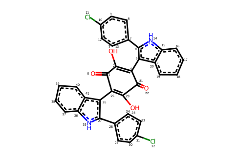 O=C1C(O)=C(c2c(-c3ccc(Cl)cc3)[nH]c3ccccc23)C(=O)C(O)=C1c1c(-c2ccc(Cl)cc2)[nH]c2ccccc12